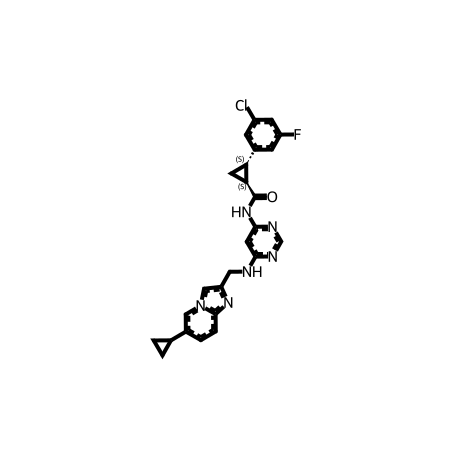 O=C(Nc1cc(NCc2cn3cc(C4CC4)ccc3n2)ncn1)[C@H]1C[C@@H]1c1cc(F)cc(Cl)c1